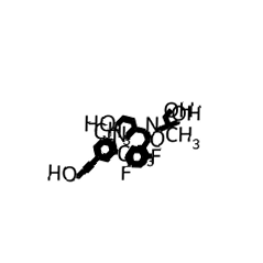 Cc1cc(C#CCO)cc(C)c1N1C=C(c2nc(C(C)(CO)CO)oc2-c2ccc(F)cc2F)C=CC1O